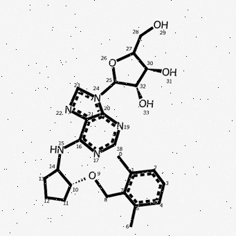 Cc1cccc(C)c1CO[C@@H]1CCCC1Nc1ncnc2c1ncn2C1OC(CO)[C@@H](O)[C@H]1O